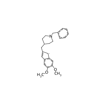 COc1cc2c(cc1OC)C=C(CC1CCN(Cc3ccccc3)CC1)[CH]2